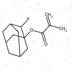 C=C(C)C(=O)OC12CC3CC(CC(C3)C1F)C2